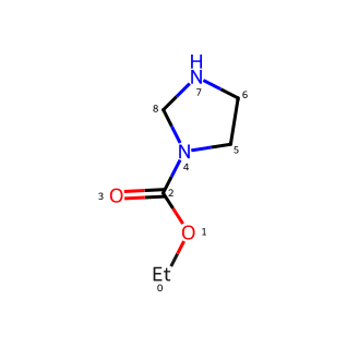 CCOC(=O)N1CCNC1